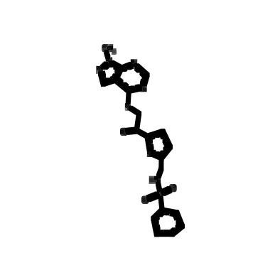 Cn1ncc2c(SCC(=O)c3ccc(CNS(=O)(=O)c4ccccc4)s3)ncnc21